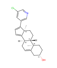 C[C@]12CC[C@H]3[C@@H](CC=C4C[C@@H](O)CC[C@@]43C)C1=CC=C2c1cncc(Cl)c1